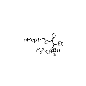 CCCCCCCCOC(=O)C(CC)CCCC.CP